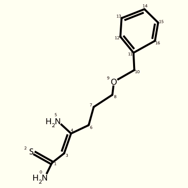 NC(=S)C=C(N)CCCOCc1ccccc1